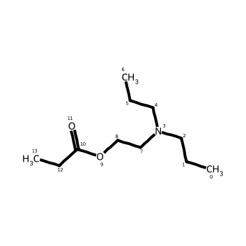 CCCN(CCC)CCOC(=O)CC